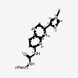 CCCCCNC(=O)Nc1ccc2ncc(-c3cn(C)cn3)nc2n1